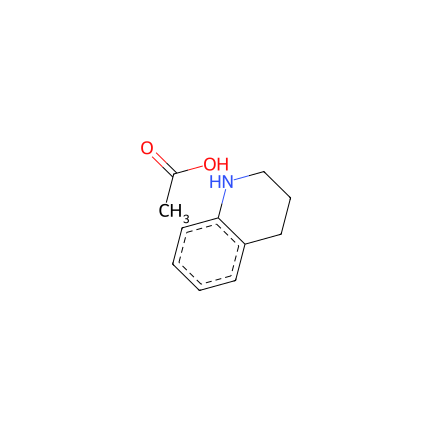 CC(=O)O.c1ccc2c(c1)CCCN2